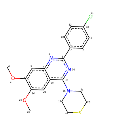 COc1cc2nc(-c3ccc(Cl)cc3)nc(N3CCSCC3)c2cc1OC